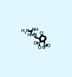 N=C(N)N/N=C/c1c(Cl)ccc([N+](=O)[O-])c1[N+](=O)[O-]